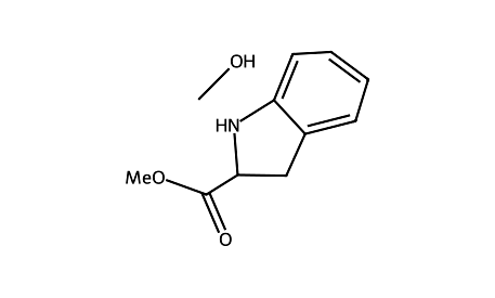 CO.COC(=O)C1Cc2ccccc2N1